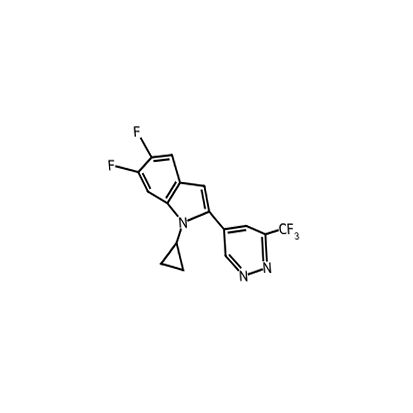 Fc1cc2cc(-c3cnnc(C(F)(F)F)c3)n(C3CC3)c2cc1F